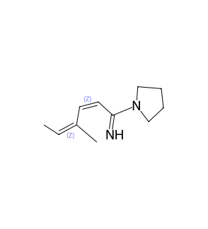 C/C=C(C)\C=C/C(=N)N1CCCC1